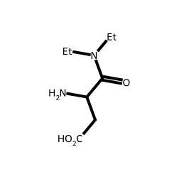 CCN(CC)C(=O)C(N)CC(=O)O